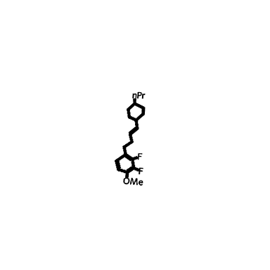 CCCC1CCC(/C=C/CCc2ccc(OC)c(F)c2F)CC1